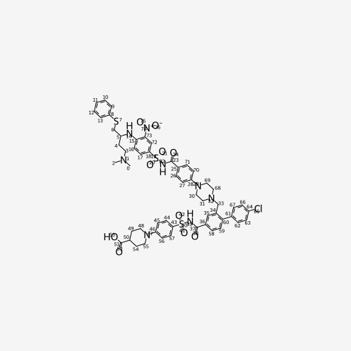 CN(C)CCC(CSc1ccccc1)Nc1ccc(S(=O)(=O)NC(=O)c2ccc(N3CCN(Cc4cc(C(=O)NS(=O)(=O)c5ccc(N6CCC(C(=O)O)CC6)cc5)ccc4-c4ccc(Cl)cc4)CC3)cc2)cc1[N+](=O)[O-]